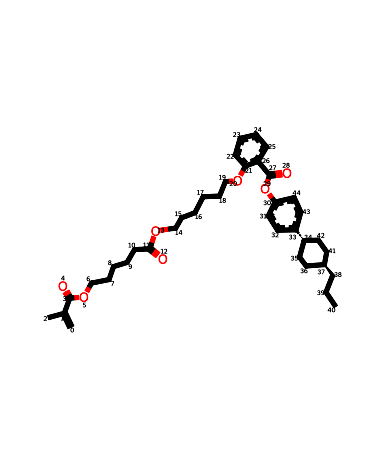 C=C(C)C(=O)OCCCCCC(=O)OCCCCCCOc1ccccc1C(=O)Oc1ccc([C@H]2CC[C@H](CCC)CC2)cc1